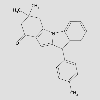 Cc1ccc(C2c3ccccc3-n3c2cc2c3CC(C)(C)CC2=O)cc1